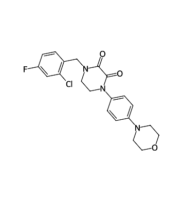 O=C1C(=O)N(c2ccc(N3CCOCC3)cc2)CCN1Cc1ccc(F)cc1Cl